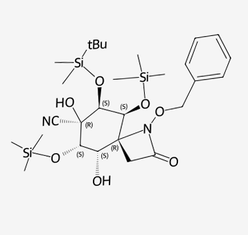 CC(C)(C)[Si](C)(C)O[C@H]1[C@@H](O[Si](C)(C)C)[C@@]2(CC(=O)N2OCc2ccccc2)[C@H](O)[C@H](O[Si](C)(C)C)[C@]1(O)C#N